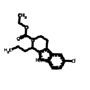 CCCC1c2[nH]c3ccc(Cl)cc3c2CCN1C(=O)OCC